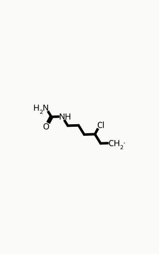 [CH2]CC(Cl)CCCNC(N)=O